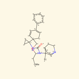 CCC1(NC(=O)NC2(C3(COCCOC)C=CC(c4ccccc4)=CC3)CC2)CN2CCC1CC2